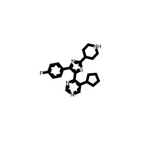 Fc1ccc(-c2nc(C3CCNCC3)sc2-c2n[c]ncc2C2CCCC2)cc1